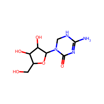 NC1=NC(=O)N(C2OC(CO)C(O)C2O)CN1